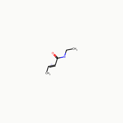 C/C=C/C(=O)[N]CC